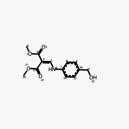 COC(=O)C(=CNc1ccc(CO)cc1)C(=O)OC